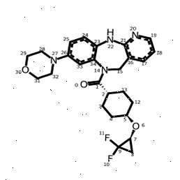 O=C([C@H]1CC[C@H](O[C@H]2CC2(F)F)CC1)N1Cc2cccnc2Nc2ccc(N3CCOCC3)cc21